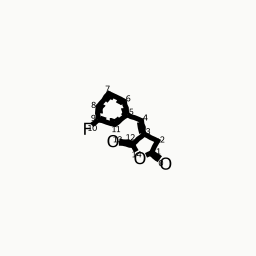 O=C1CC(=Cc2cccc(F)c2)C(=O)O1